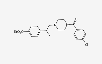 CCOC(=O)c1ccc(C(C)CN2CCN(C(=O)c3ccc(Cl)cc3)CC2)cc1